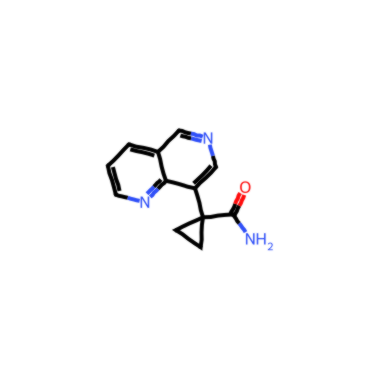 NC(=O)C1(c2cncc3cccnc23)CC1